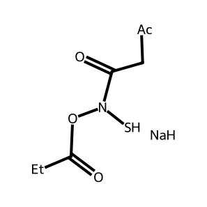 CCC(=O)ON(S)C(=O)CC(C)=O.[NaH]